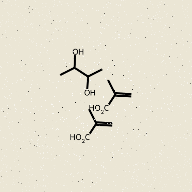 C=C(C)C(=O)O.C=C(C)C(=O)O.CC(O)C(C)O